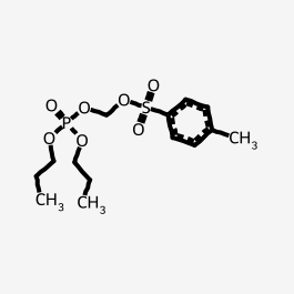 CCCOP(=O)(OCCC)OCOS(=O)(=O)c1ccc(C)cc1